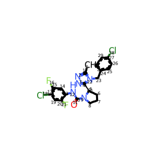 Cc1nnc([C@H]2CCCN2C(=O)Nc2cc(F)c(Cl)cc2F)n1Cc1ccc(Cl)cc1